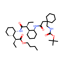 CCCCOC(=O)[C@@H](CC)[C@@H]1CCCC[C@@H]1NC(=O)[C@@H](CC)[C@@H]1CCCC[C@@H]1NC(=O)CC1(CNC(=O)OC(C)(C)C)CCCCC1